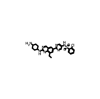 CCc1cc(-c2ncc(NS(=O)(=O)c3ccccc3Cl)cn2)cc2cnc(NC3CCC(N)CC3)nc12